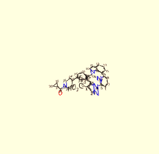 O=C(O)c1cnn(-c2cccc(-c3cccc4ccn(Cc5ccc(C6CCN(C(=O)C7CC7)CC6)cc5)c34)n2)c1C(F)(F)F